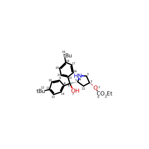 CCOC(=O)O[C@H]1CN[C@@H](C(O)(c2ccc(C(C)(C)C)cc2)c2ccc(C(C)(C)C)cc2)C1